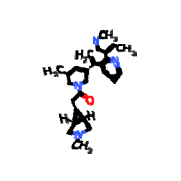 C=C(c1cccnc1C(/C=N\C)=C\C)[C@H]1C[C@@H](C)CN(C(=O)C[C@@H]2[C@H]3CN(C)C[C@@H]23)C1